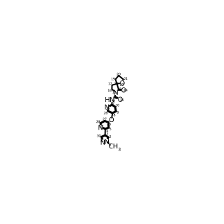 Cn1cc(-c2cc(Oc3ccc(NC(=O)N4CCC5(CCCO5)C4=O)nc3)ccn2)cn1